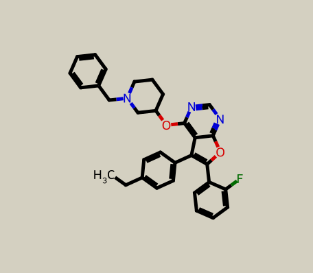 CCc1ccc(-c2c(-c3ccccc3F)oc3ncnc(OC4CCCN(Cc5ccccc5)C4)c23)cc1